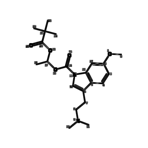 COc1ccc2c(CCN(C)C)cn(C(=O)OC(C)OC(=O)C(C)(C)C)c2c1